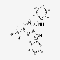 FC(F)(F)c1cnc(Nc2ccccc2)c(Nc2ccccc2)c1